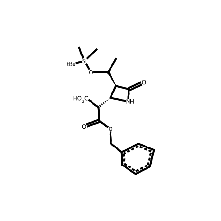 CC(O[Si](C)(C)C(C)(C)C)[C@H]1C(=O)N[C@@H]1C(C(=O)O)C(=O)OCc1ccccc1